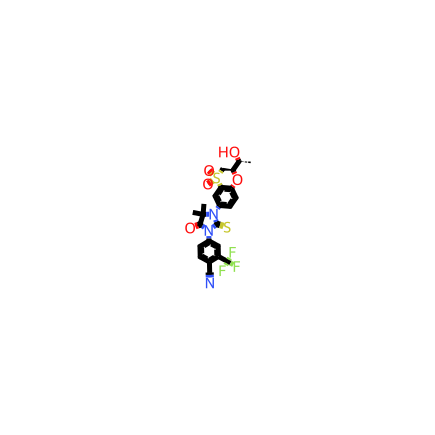 C[C@@H](O)[C@@H]1CS(=O)(=O)c2cc(N3C(=S)N(c4ccc(C#N)c(C(F)(F)F)c4)C(=O)C3(C)C)ccc2O1